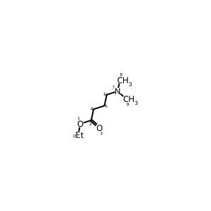 [CH2]COC(=O)CCCN(C)C